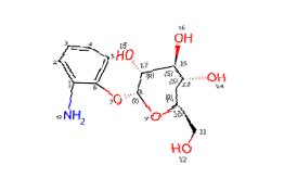 Nc1ccccc1O[C@H]1O[C@H](CO)[C@@H](O)[C@H](O)[C@H]1O